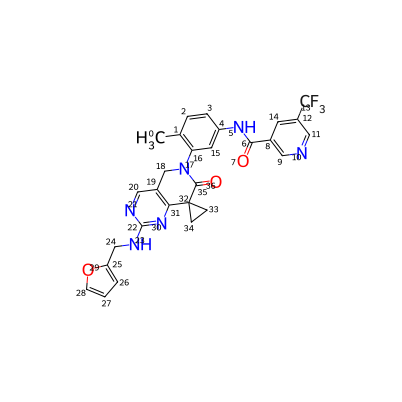 Cc1ccc(NC(=O)c2cncc(C(F)(F)F)c2)cc1N1Cc2cnc(NCc3ccco3)nc2C2(CC2)C1=O